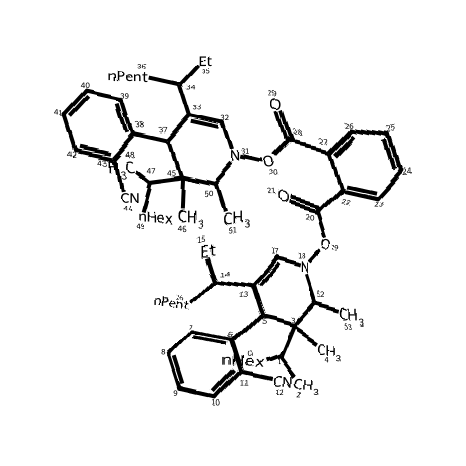 CCCCCCC(C)C1(C)C(c2ccccc2C#N)C(C(CC)CCCCC)=CN(OC(=O)c2ccccc2C(=O)ON2C=C(C(CC)CCCCC)C(c3ccccc3C#N)C(C)(C(C)CCCCCC)C2C)C1C